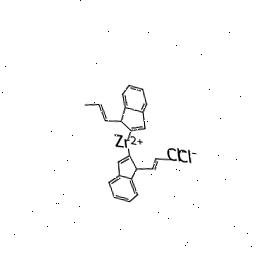 CC=CC1[C]([Zr+2][C]2=Cc3ccccc3C2C=CC)=Cc2ccccc21.[Cl-].[Cl-]